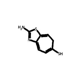 Nc1nc2c(s1)=CCC(S)=CC=2